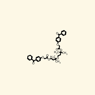 CC(C)(CCOC(=O)COc1ccc(C(=O)C2=CCCC=C2)cc1)OCCC(C)(C)OC(=O)COc1ccc(C(=O)c2ccccc2)cc1